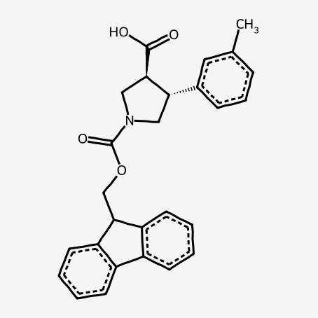 Cc1cccc([C@@H]2CN(C(=O)OCC3c4ccccc4-c4ccccc43)C[C@H]2C(=O)O)c1